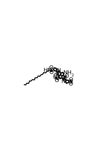 CCCCCCCCCCCCCCCCCCNS(=O)(=O)c1ccc2nc3c4cc(N)c5c(=O)n6c7cc(S(C)(=O)=O)ccc7nc6c6cc([N+](=O)[O-])c(c(=O)n3c2c1)c4c56